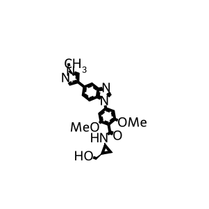 COc1cc(-n2cnc3cc(-c4cnn(C)c4)ccc32)cc(OC)c1C(=O)N[C@@H]1C[C@H]1CO